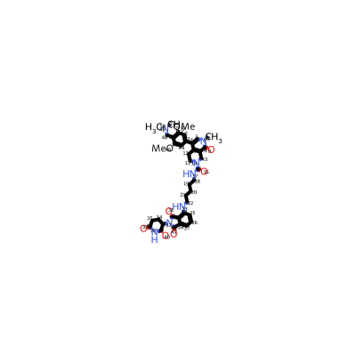 COc1cc(-c2cn(C)c(=O)c3c2CCN(C(=O)NCCCCCNc2cccc4c2C(=O)N(C2CCC(=O)NC2=O)C4=O)C3)cc(OC)c1CN(C)C